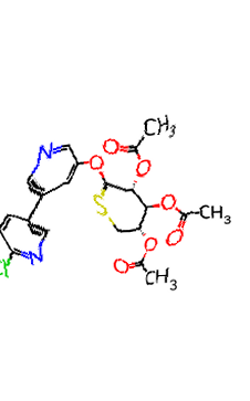 CC(=O)O[C@@H]1[C@@H](OC(C)=O)[C@H](OC(C)=O)CS[C@H]1Oc1cncc(-c2ccc(Cl)nc2)c1